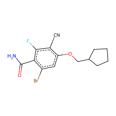 N#Cc1c(OCC2CCCC2)cc(Br)c(C(N)=O)c1F